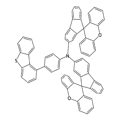 c1ccc2c(c1)Oc1ccccc1C21c2ccccc2-c2ccc(N(c3ccc(-c4cccc5sc6ccccc6c45)cc3)c3ccc4c(c3)C3(c5ccccc5Oc5ccccc53)c3ccccc3-4)cc21